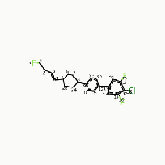 FCCC=CC1CCC(c2ccc(-c3cc(F)c(Cl)c(F)c3)cc2)CC1